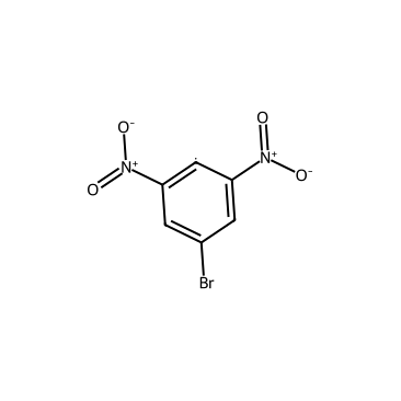 O=[N+]([O-])c1[c]c([N+](=O)[O-])cc(Br)c1